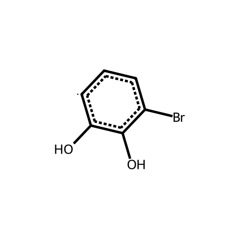 Oc1[c]ccc(Br)c1O